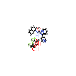 O=C(NC1CCCc2ccccc21)c1nc(-c2ccncc2)c2ccccn12.O=C(O)C(F)(F)F.O=C(O)C(F)(F)F